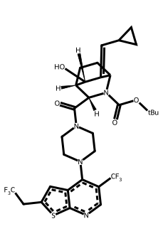 CC(C)(C)OC(=O)N1C2CC[C@H]([C@H](O)/C2=C/C2CC2)[C@H]1C(=O)N1CCN(c2c(C(F)(F)F)cnc3sc(CC(F)(F)F)cc23)CC1